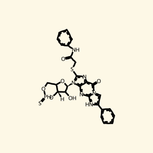 O=C(CSc1nc2c(=O)n3cc(-c4ccccc4)[nH]c3nc2n1[C@@H]1OC2CO[PH](=S)O[C@H]2C1O)Nc1ccccc1